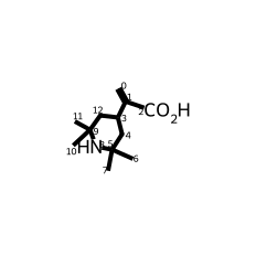 C=C(C(=O)O)C1CC(C)(C)NC(C)(C)C1